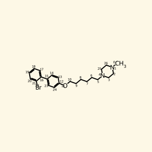 CN1CCN(CCCCCCOc2ccc(-c3ccccc3Br)cc2)CC1